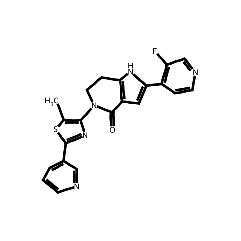 Cc1sc(-c2cccnc2)nc1N1CCc2[nH]c(-c3ccncc3F)cc2C1=O